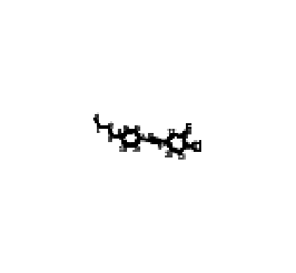 CCCCc1ccc(C#Cc2ccc(Cl)c(F)c2)cc1